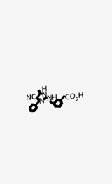 C=C1NC(NCc2cccc(CC(=O)O)c2)=NC(c2ccccc2)=C1C#N